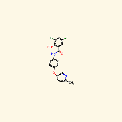 Cc1ccc(Oc2ccc(NC(=O)c3cc(F)cc(F)c3O)cc2)cn1